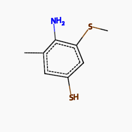 CSc1cc(S)cc(C)c1N